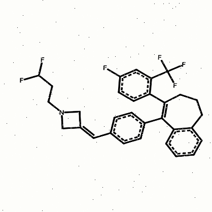 Fc1ccc(C2=C(c3ccc(C=C4CN(CCC(F)F)C4)cc3)c3ccccc3CCC2)c(C(F)(F)F)c1